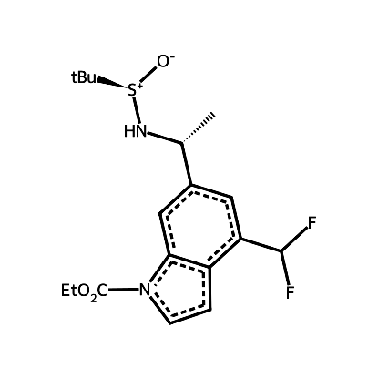 CCOC(=O)n1ccc2c(C(F)F)cc([C@@H](C)N[S@+]([O-])C(C)(C)C)cc21